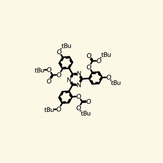 CC(C)(C)OC(=O)Oc1cc(OC(C)(C)C)ccc1-c1nc(-c2ccc(OC(C)(C)C)cc2OC(=O)OC(C)(C)C)nc(-c2ccc(OC(C)(C)C)cc2OC(=O)OC(C)(C)C)n1